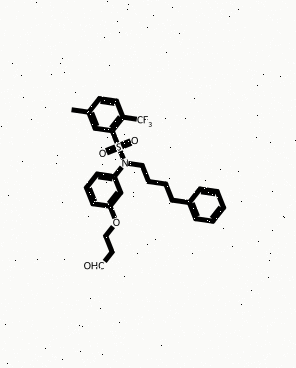 Cc1ccc(C(F)(F)F)c(S(=O)(=O)N(CCCCc2ccccc2)c2cccc(OCCC=O)c2)c1